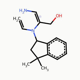 C=CN(/C(=C\N)CO)C1CC(C)(C)c2ccccc21